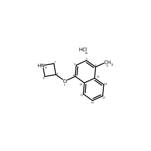 Cc1ccc(OC2CNC2)c2ccccc12.Cl